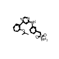 CC(C)Oc1ccccc1-c1cc(Nc2cccc(CS(N)(=O)=O)c2)ncn1